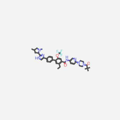 CCc1cc(-c2ccc(-c3c[nH]c(C4CC(C)CN4C)n3)cc2)c(OC(F)(F)F)cc1C(=O)Nc1ccc(N2CCN(C(=O)C(C)(C)C)CC2)nc1